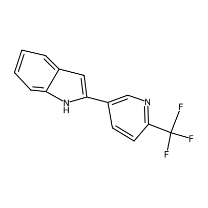 FC(F)(F)c1ccc(-c2cc3ccccc3[nH]2)cn1